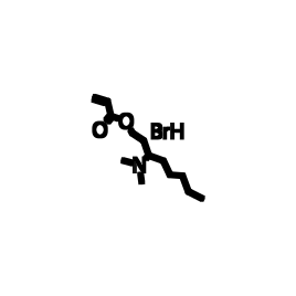 Br.C=CC(=O)OCCC(CCCCC)N(C)C